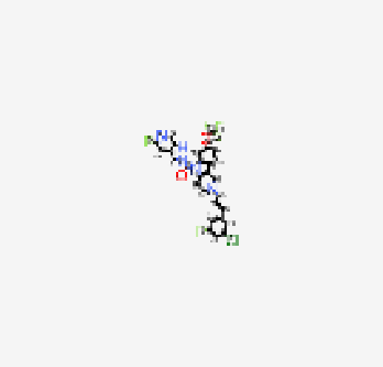 O=C(NCc1ccnc(F)c1)n1c2c(c3ccc(OC(F)(F)F)cc31)CN(CC=Cc1cc(F)cc(Cl)c1)CC2